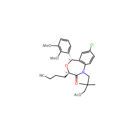 COc1cccc([C@H]2O[C@H](CCCC#N)C(=O)N(CC(C)(C)COC(C)=O)c3ccc(Cl)cc32)c1OC